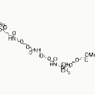 COC(=O)CCOCCOCC[N+](C)(C)CCNC(=O)COCCOCCNC(=O)COCCOCCNC(=O)CCCC(=O)OC(C)(C)C